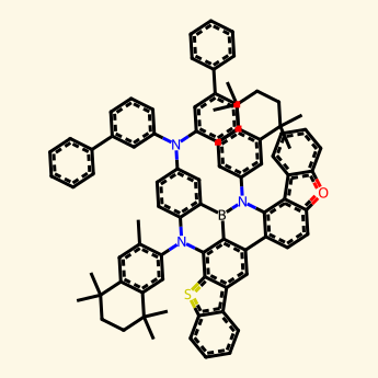 Cc1cc2c(cc1N1c3ccc(N(c4cccc(-c5ccccc5)c4)c4cccc(-c5ccccc5)c4)cc3B3c4c(cc5c(sc6ccccc65)c41)-c1ccc4oc5ccccc5c4c1N3c1ccc3c(c1)C(C)(C)CCC3(C)C)C(C)(C)CCC2(C)C